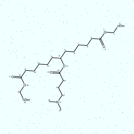 CCCCCCCCCCCOC(=O)CCCCCC(CCCCCC(=O)OCCCCCCCCCCC)OC(=O)CCCN(C)C